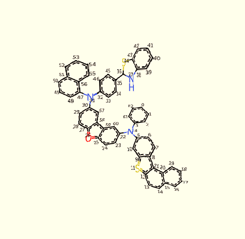 c1ccc(N(c2ccc3c(c2)sc2ccc4ccccc4c23)c2ccc3oc4ccc(N(c5ccc(C6Nc7ccccc7S6)cc5)c5cccc6ccccc56)cc4c3c2)cc1